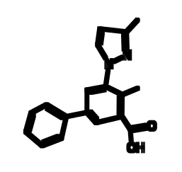 Cc1ccn(-c2cc(-c3ccccc3)cc(C(=O)O)c2C)n1